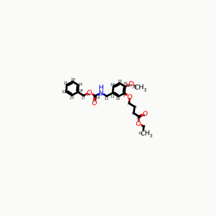 CCOC(=O)CCCOc1cc(CNC(=O)OCc2ccccc2)ccc1OC